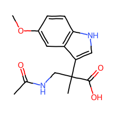 COc1ccc2[nH]cc(C(C)(CNC(C)=O)C(=O)O)c2c1